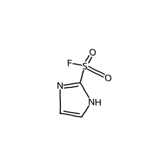 O=S(=O)(F)c1ncc[nH]1